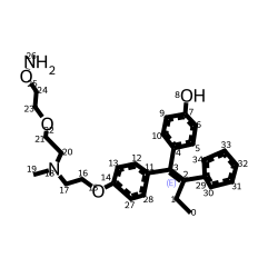 CC/C(=C(/c1ccc(O)cc1)c1ccc(OCCN(C)CCOCCON)cc1)c1ccccc1